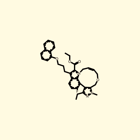 CCOC(=O)c1c(CCCOc2cccc3ccccc23)c2ccc(F)c3c2n1C/C=C\COCc1c-3c(CC)nn1C